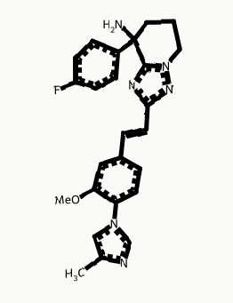 COc1cc(C=Cc2nc3n(n2)CCCC3(N)c2ccc(F)cc2)ccc1-n1cnc(C)c1